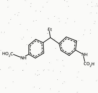 CCC(c1ccc(NC(=O)O)cc1)c1ccc(NC(=O)O)cc1